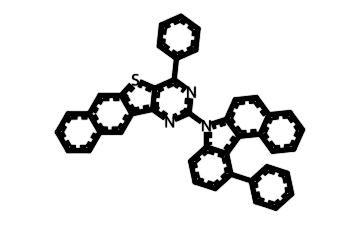 c1ccc(-c2nc(-n3c4cccc(-c5ccccc5)c4c4c5ccccc5ccc43)nc3c2sc2cc4ccccc4cc23)cc1